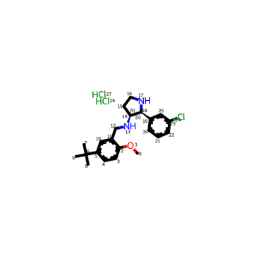 COc1ccc(C(C)(C)C)cc1CN[C@H]1CCN[C@H]1c1cccc(Cl)c1.Cl.Cl